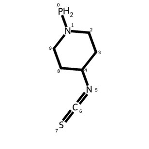 PN1CCC(N=C=S)CC1